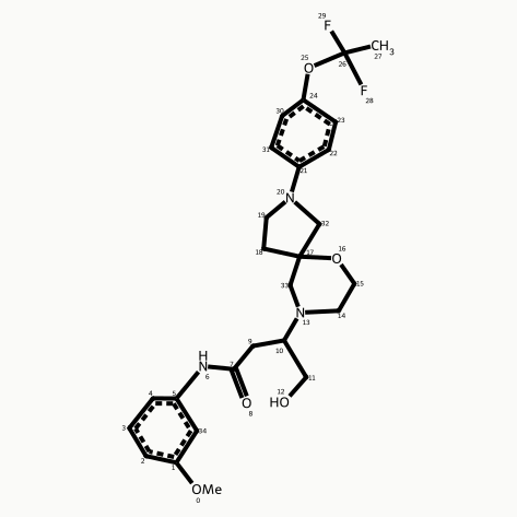 COc1cccc(NC(=O)CC(CO)N2CCOC3(CCN(c4ccc(OC(C)(F)F)cc4)C3)C2)c1